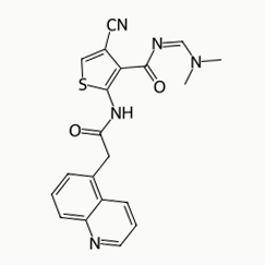 CN(C)/C=N\C(=O)c1c(C#N)csc1NC(=O)Cc1cccc2ncccc12